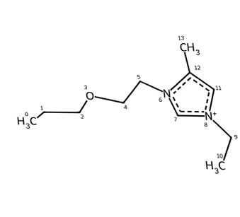 CCCOCCn1c[n+](CC)cc1C